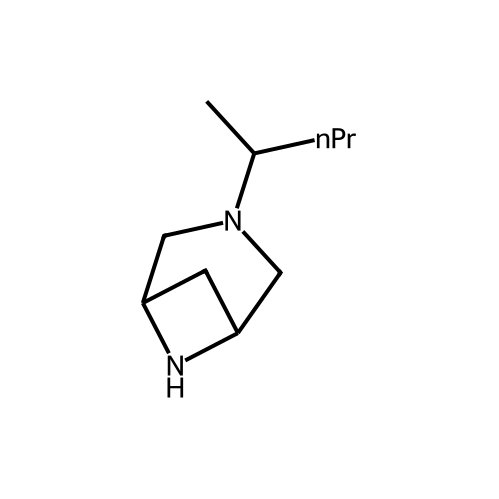 CCCC(C)N1CC2CC(C1)N2